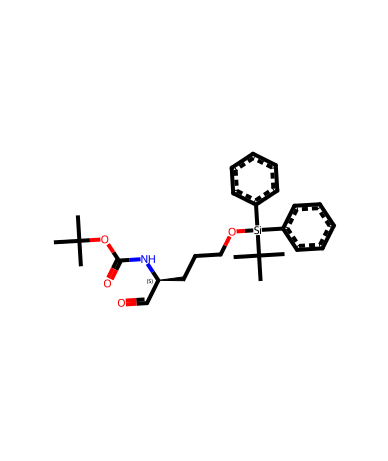 CC(C)(C)OC(=O)N[C@H](C=O)CCCO[Si](c1ccccc1)(c1ccccc1)C(C)(C)C